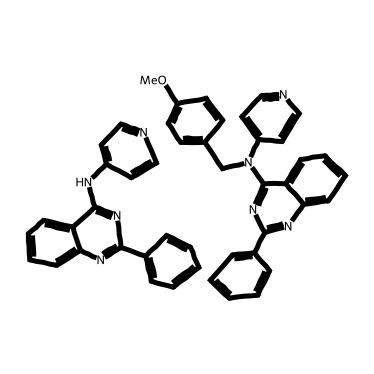 COc1ccc(CN(c2ccncc2)c2nc(-c3ccccc3)nc3ccccc23)cc1.c1ccc(-c2nc(Nc3ccncc3)c3ccccc3n2)cc1